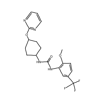 COc1ccc(C(F)(F)F)cc1NC(=O)NC1CCC(Oc2ncccn2)CC1